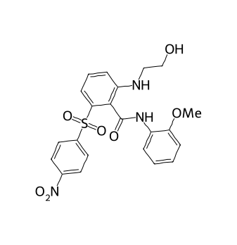 COc1ccccc1NC(=O)c1c(NCCO)cccc1S(=O)(=O)c1ccc([N+](=O)[O-])cc1